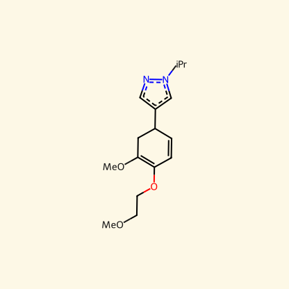 COCCOC1=C(OC)CC(c2cnn(C(C)C)c2)C=C1